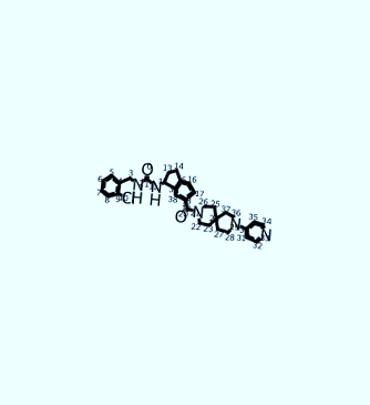 O=C(NCc1ccccc1Cl)NC1CCc2ccc(C(=O)N3CCC4(CC3)CCN(c3ccncc3)CC4)cc21